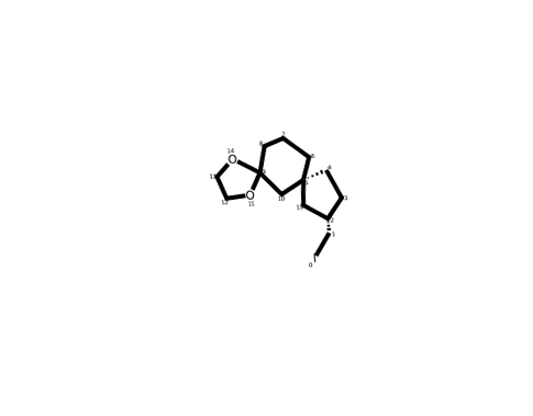 IC[C@H]1CC[C@]2(CCCC3(C2)OCCO3)C1